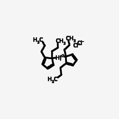 CCCC1=CC=C[C]1(CCC)[Hf+2][C]1(CCC)C=CC=C1CCC.[Cl-].[Cl-]